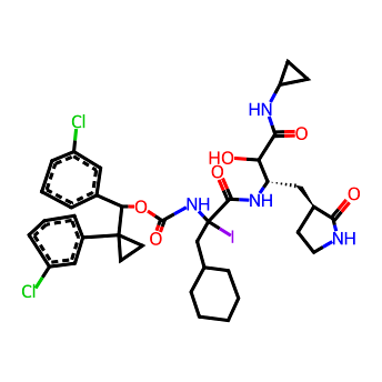 O=C(NC(I)(CC1CCCCC1)C(=O)N[C@@H](C[C@@H]1CCNC1=O)C(O)C(=O)NC1CC1)OC(c1cccc(Cl)c1)C1(c2cccc(Cl)c2)CC1